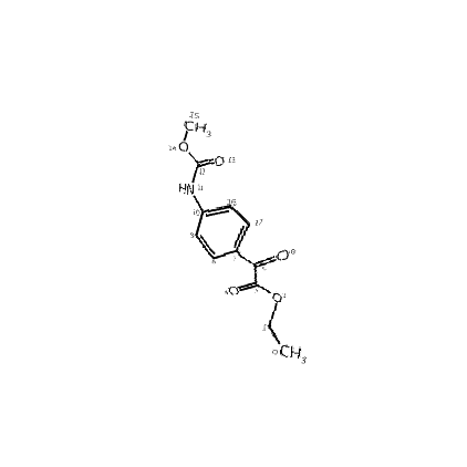 CCOC(=O)C(=O)c1ccc(NC(=O)OC)cc1